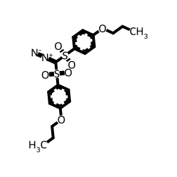 CCCOc1ccc(S(=O)(=O)C(=[N+]=[N-])S(=O)(=O)c2ccc(OCCC)cc2)cc1